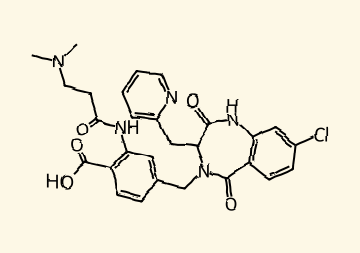 CN(C)CCC(=O)Nc1cc(CN2C(=O)c3ccc(Cl)cc3NC(=O)C2Cc2ccccn2)ccc1C(=O)O